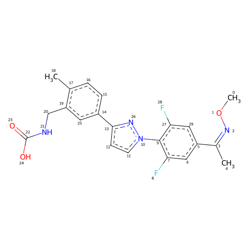 CO/N=C(/C)c1cc(F)c(-n2ccc(-c3ccc(C)c(CNC(=O)O)c3)n2)c(F)c1